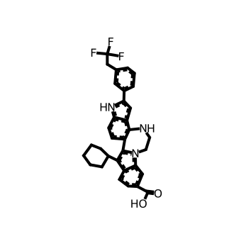 O=C(O)c1ccc2c(C3CCCCC3)c3n(c2c1)CCNc1c-3ccc2[nH]c(-c3cccc(CC(F)(F)F)c3)cc12